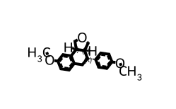 COc1ccc([C@@H]2Cc3ccc(OC)cc3[C@@H]3COC[C@H]23)cc1